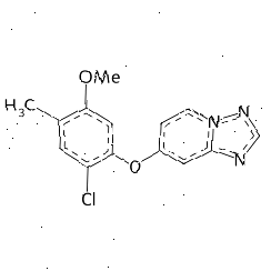 COc1cc(Oc2ccn3ncnc3c2)c(Cl)cc1C